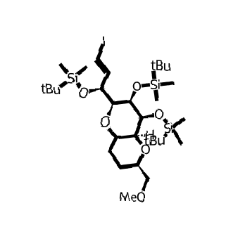 COC[C@H]1CCC2O[C@@H]([C@H](/C=C/I)O[Si](C)(C)C(C)(C)C)[C@@H](O[Si](C)(C)C(C)(C)C)[C@@H](O[Si](C)(C)C(C)(C)C)[C@H]2O1